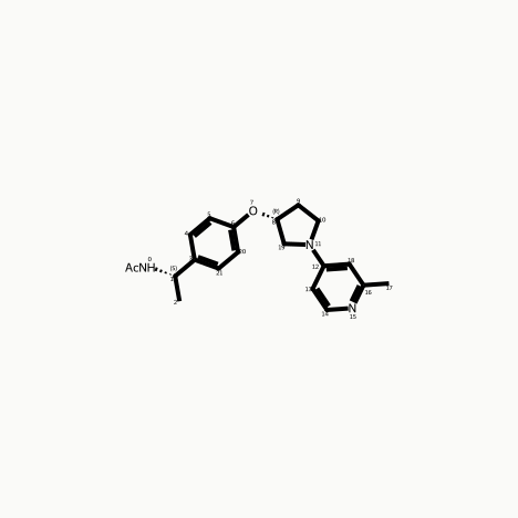 CC(=O)N[C@@H](C)c1ccc(O[C@@H]2CCN(c3ccnc(C)c3)C2)cc1